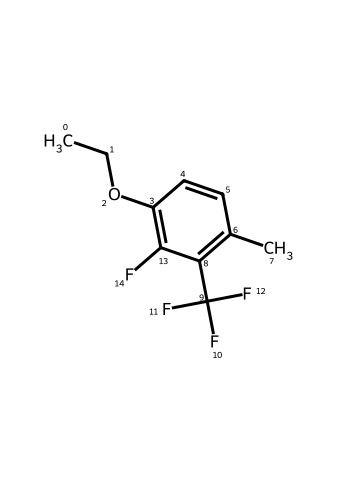 CCOc1ccc(C)c(C(F)(F)F)c1F